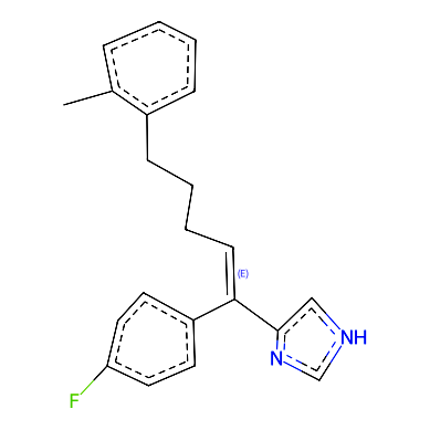 Cc1ccccc1CCC/C=C(\c1ccc(F)cc1)c1c[nH]cn1